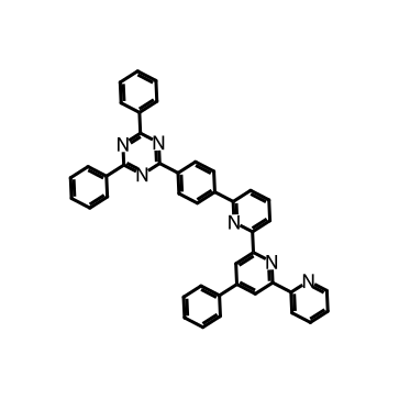 c1ccc(-c2cc(-c3ccccn3)nc(-c3cccc(-c4ccc(-c5nc(-c6ccccc6)nc(-c6ccccc6)n5)cc4)n3)c2)cc1